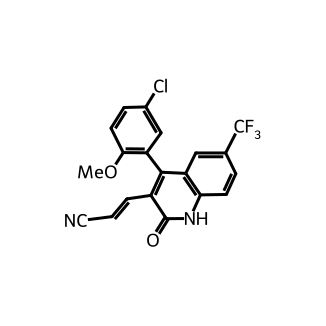 COc1ccc(Cl)cc1-c1c(/C=C/C#N)c(=O)[nH]c2ccc(C(F)(F)F)cc12